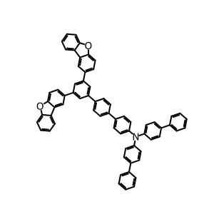 c1ccc(-c2ccc(N(c3ccc(-c4ccccc4)cc3)c3ccc(-c4ccc(-c5cc(-c6ccc7oc8ccccc8c7c6)cc(-c6ccc7oc8ccccc8c7c6)c5)cc4)cc3)cc2)cc1